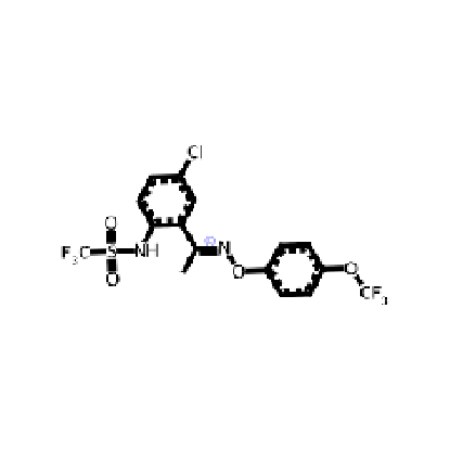 C/C(=N\Oc1ccc(OC(F)(F)F)cc1)c1cc(Cl)ccc1NS(=O)(=O)C(F)(F)F